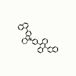 C1=Cc2c(n(-c3ccc(-c4c5ccccc5c(-c5ccc6ccccc6c5)c5ccccc45)cc3)c3ccc(-c4cccc5ccccc45)cc23)CC1